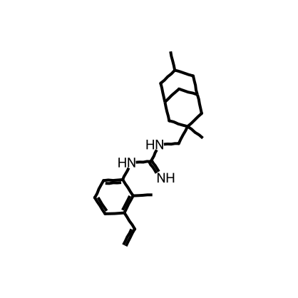 C=Cc1cccc(NC(=N)NCC2(C)CC3CC(C)CC(C3)C2)c1C